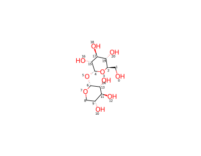 OC[C@H]1O[C@H](O[C@H]2OC[C@@H](O)[C@H](O)[C@H]2O)[C@H](O)[C@@H](O)[C@@H]1O